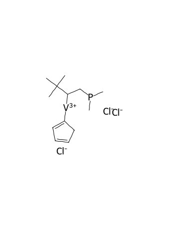 CP(C)C[CH]([V+3][C]1=CC=CC1)C(C)(C)C.[Cl-].[Cl-].[Cl-]